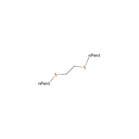 CCCCCSCCSCCCCC